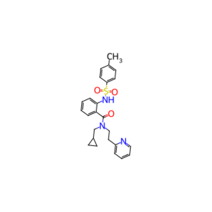 Cc1ccc(S(=O)(=O)Nc2ccccc2C(=O)N(CCc2ccccn2)CC2CC2)cc1